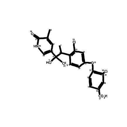 Cc1cc(C(O)(C(C)c2ccc(Oc3ccc(C(=O)O)cc3Cl)cc2Cl)C(F)(F)F)c[nH]c1=O